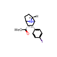 COC(=O)[C@@H]1C2CC[C@H](C[C@@H]1c1ccc(I)cc1)N2